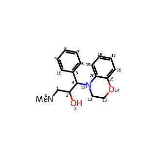 CNCC(O)C(c1ccccc1)N1CCOc2ccccc21